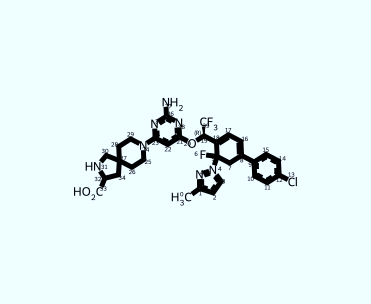 Cc1ccn(C2(F)CC(c3ccc(Cl)cc3)=CC=C2[C@@H](Oc2cc(N3CCC4(CC3)CNC(C(=O)O)C4)nc(N)n2)C(F)(F)F)n1